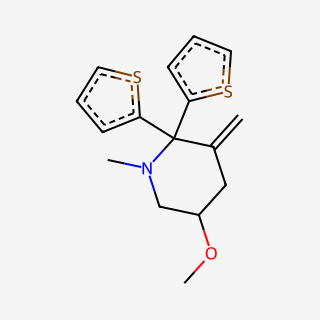 C=C1CC(OC)CN(C)C1(c1cccs1)c1cccs1